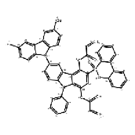 C=CC(=O)Oc1c(P2(=O)Oc3ccccc3-c3ccccc32)cc(OC(=O)C=C)c2c1c1cc(-n3c4ccc(C(C)(C)C)cc4c4cc(C(C)(C)C)ccc43)ccc1n2-c1ccccc1